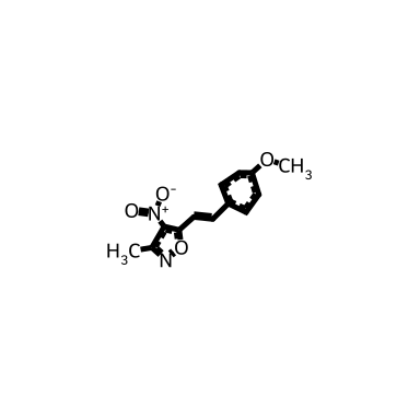 COc1ccc(C=Cc2onc(C)c2[N+](=O)[O-])cc1